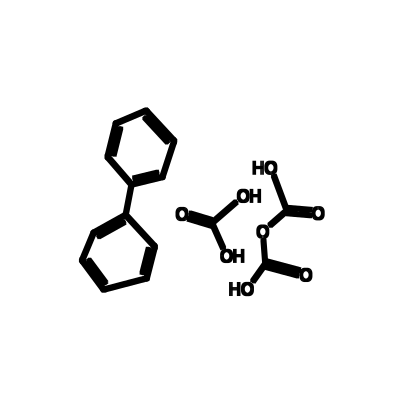 O=C(O)O.O=C(O)OC(=O)O.c1ccc(-c2ccccc2)cc1